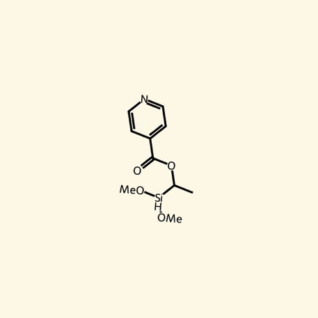 CO[SiH](OC)C(C)OC(=O)c1ccncc1